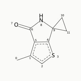 Cc1csc2c1C(=O)NC21CC1